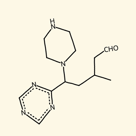 CC(CC=O)CC(c1ncncn1)N1CCNCC1